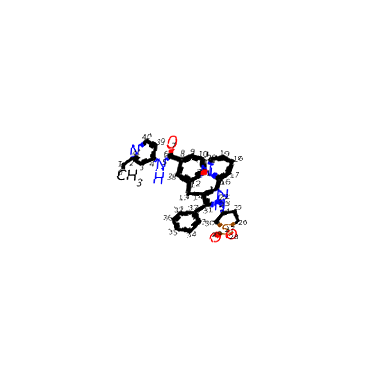 CCc1cc(NC(=O)c2cccc(Cc3c(-c4ccccn4)nn(C4CCS(=O)(=O)C4)c3-c3ccccc3)c2)ccn1